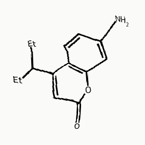 CCC(CC)c1cc(=O)oc2cc(N)ccc12